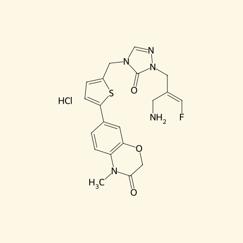 CN1C(=O)COc2cc(-c3ccc(Cn4cnn(C/C(=C/F)CN)c4=O)s3)ccc21.Cl